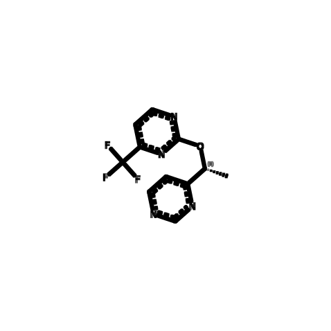 C[C@@H](Oc1nccc(C(F)(F)F)n1)c1ccncn1